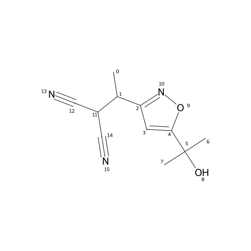 CC(c1cc(C(C)(C)O)on1)C(C#N)C#N